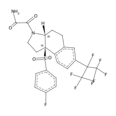 NC(=O)C(=O)N1CC[C@@]2(S(=O)(=O)c3ccc(F)cc3)c3ccc(C(F)(C(F)(F)F)C(F)(F)F)cc3CC[C@@H]12